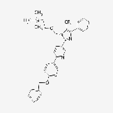 C[Si](C)(C)CCOCn1c(-c2ccc(-c3ccc(OCc4ccccc4)cc3)nc2)nc(-c2ccccc2)c1C(F)(F)F